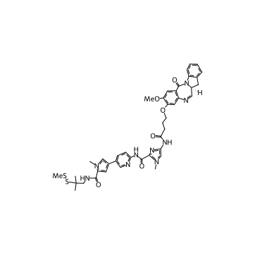 COc1cc2c(cc1OCCCC(=O)Nc1cn(C)c(C(=O)Nc3ccc(-c4cc(C(=O)NCC(C)(C)SSC)n(C)c4)cn3)n1)N=C[C@@H]1Cc3ccccc3N1C2=O